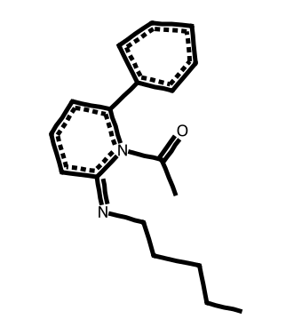 CCCCC/N=c1/cccc(-c2ccccc2)n1C(C)=O